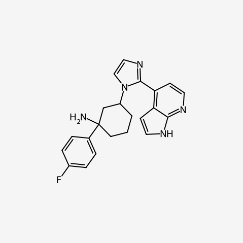 NC1(c2ccc(F)cc2)CCCC(n2ccnc2-c2ccnc3[nH]ccc23)C1